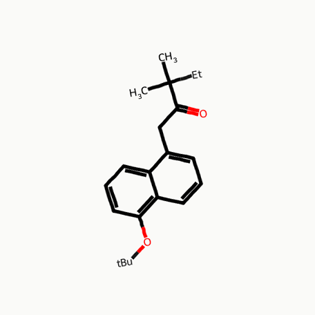 CCC(C)(C)C(=O)Cc1cccc2c(OC(C)(C)C)cccc12